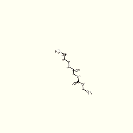 CCOC(=O)OCCOCCNC.Cl